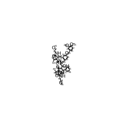 COCCNC(=O)N[C@H](C(=O)NN(Cc1ccc(OCc2ccc(OC)c(OC)c2)cc1)CC(O)C(C(=O)[C@@H](NC(=O)NCCOC)C(C)C)C(N)c1ccccc1)C(C)C